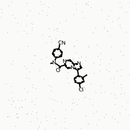 Cc1cc(Cl)ccc1-c1cnc2cnc(C(=O)N(C)c3ccc(C#N)cc3)cn12